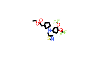 CCOC(=O)Cc1cccc(N(Cc2cncs2)c2ccc(OC(F)F)c(OC(F)F)c2)c1